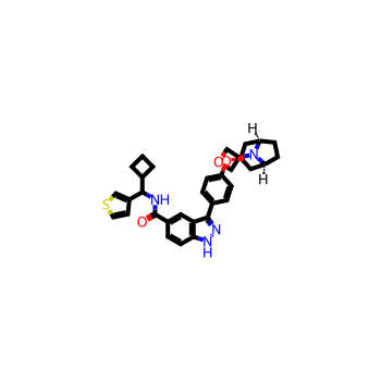 O=C(NC(c1ccsc1)C1CCC1)c1ccc2[nH]nc(-c3ccc(O[C@H]4C[C@H]5CC[C@@H](C4)N5C4COC4)cc3)c2c1